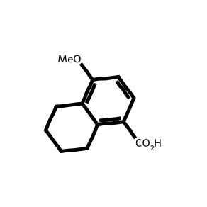 COc1ccc(C(=O)O)c2c1CCCC2